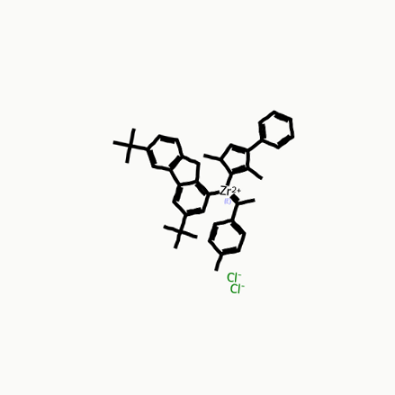 CC1=[C](/[Zr+2](=[C](\C)c2ccc(C)cc2)[c]2cc(C(C)(C)C)cc3c2Cc2ccc(C(C)(C)C)cc2-3)C(C)C=C1c1ccccc1.[Cl-].[Cl-]